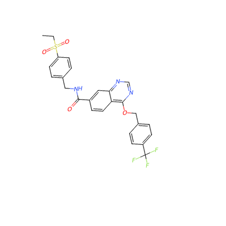 CCS(=O)(=O)c1ccc(CNC(=O)c2ccc3c(OCc4ccc(C(F)(F)F)cc4)ncnc3c2)cc1